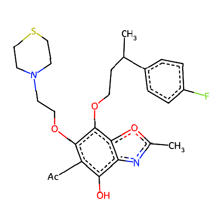 CC(=O)c1c(OCCN2CCSCC2)c(OCCC(C)c2ccc(F)cc2)c2oc(C)nc2c1O